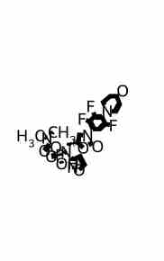 CN(C)C(=O)OP(=O)(O)N(C[C@H]1CN(c2cc(F)c(N3C=CC(=O)CC3)c(F)c2F)C(=O)O1)c1ccon1